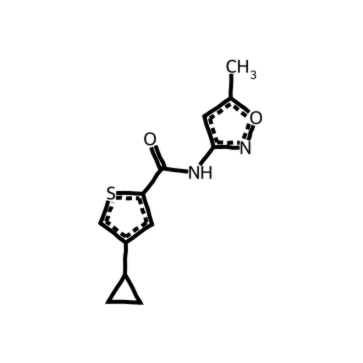 Cc1cc(NC(=O)c2cc(C3CC3)cs2)no1